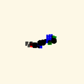 FC(F)(F)OC1=CCC(n2cnc3c4ccc(/C=N/NC(=S)Nc5c(Br)cccc5Br)cc4ccc32)C=C1